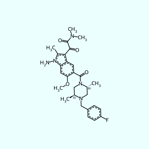 COc1cc2c(cc1C(=O)N1C[C@H](C)N(Cc3ccc(F)cc3)C[C@H]1C)c(C(=O)C(=O)N(C)C)c(C)n2N